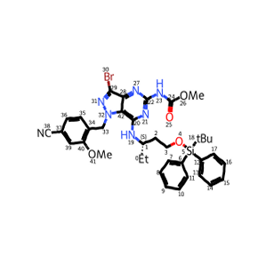 CC[C@@H](CCO[Si](c1ccccc1)(c1ccccc1)C(C)(C)C)Nc1nc(NC(=O)OC)nc2c(Br)nn(Cc3ccc(C#N)cc3OC)c12